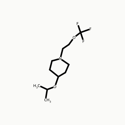 CC(C)OC1CCN(CCOC(F)(F)F)CC1